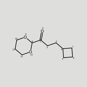 O=C(CCC1CCC1)C1OCCCO1